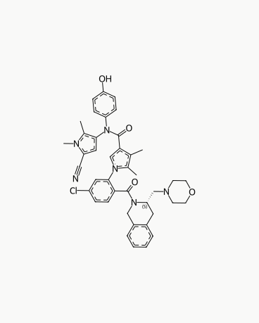 Cc1c(C(=O)N(c2ccc(O)cc2)c2cc(C#N)n(C)c2C)cn(-c2cc(Cl)ccc2C(=O)N2Cc3ccccc3C[C@H]2CN2CCOCC2)c1C